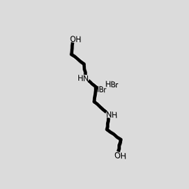 Br.Br.OCCNCCNCCO